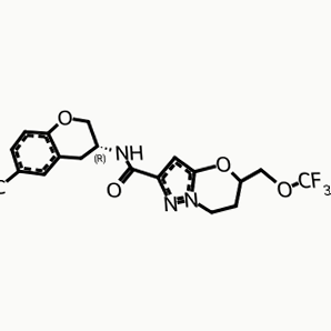 N#Cc1ccc2c(c1)C[C@@H](NC(=O)c1cc3n(n1)CCC(COC(F)(F)F)O3)CO2